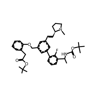 CC(NC(=O)OC(C)(C)C)c1cccc(-c2cc(C=C[C@H]3CCCN3C)cc(COc3ccccc3CC(=O)OC(C)(C)C)c2)c1F